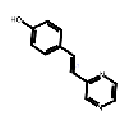 Oc1ccc(/C=C/c2cnccn2)cc1